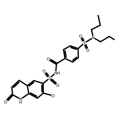 CCCN(CCC)S(=O)(=O)c1ccc(C(=O)NS(=O)(=O)c2cc3c[c]c(=O)[nH]c3cc2Cl)cc1